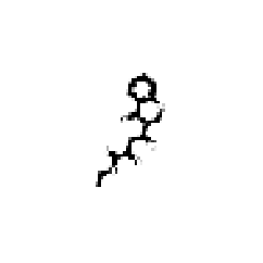 CCOC(=O)C(=O)CC(=O)C1COc2ccccc2C1=O